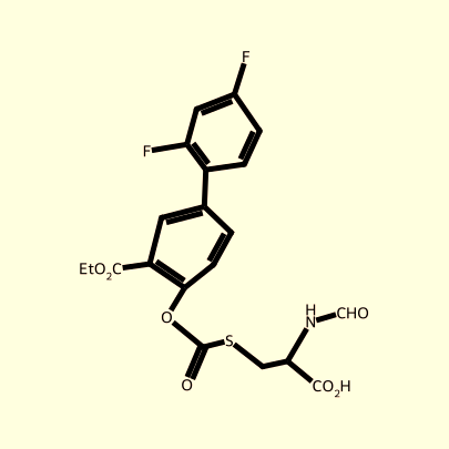 CCOC(=O)c1cc(-c2ccc(F)cc2F)ccc1OC(=O)SCC(NC=O)C(=O)O